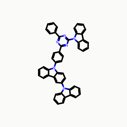 c1ccc(-c2nc(-c3ccc(-n4c5ccccc5c5cc(-n6c7ccccc7c7ccccc76)ccc54)cc3)nc(-n3c4ccccc4c4ccccc43)n2)cc1